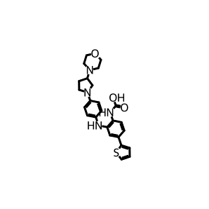 O=C(O)Nc1ccc(-c2cccs2)cc1Nc1ccc(N2CCC(N3CCOCC3)C2)cc1